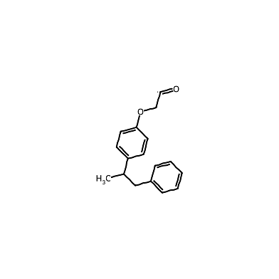 CC(Cc1ccccc1)c1ccc(OC[C]=O)cc1